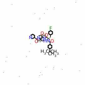 CC(C)(C)c1ccc(C(=O)N[C@@H](Cc2ccc(F)cc2)C(=O)N2CC[C@@H]3[C@H]2C(=O)CN3C(=O)c2cccnc2)cc1